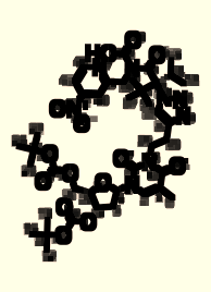 Cc1cn([C@H]2C[C@H](OC(=O)OC(C)(C)C)[C@@H](COC(=O)OC(C)(C)C)O2)c(=O)n(CCc2cn([C@@](C(=O)N(Cc3cc([N+](=O)[O-])ccn3)C(=O)O)(C(C)C)C(C)(C)C)nn2)c1=O